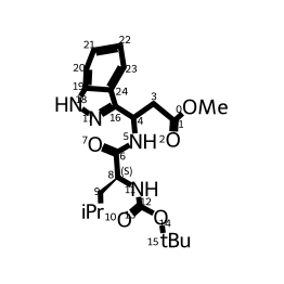 COC(=O)CC(NC(=O)[C@H](CC(C)C)NC(=O)OC(C)(C)C)c1n[nH]c2ccccc12